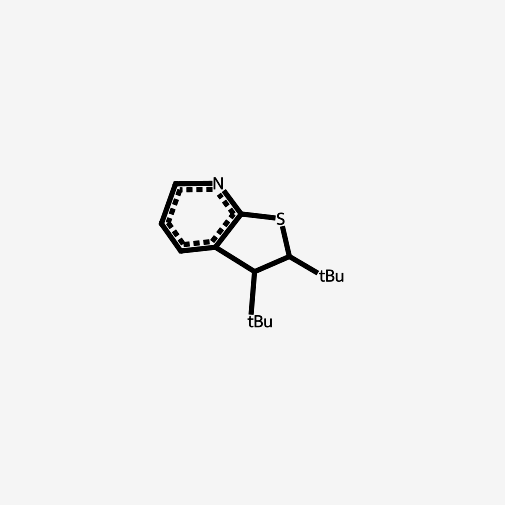 CC(C)(C)C1Sc2ncccc2C1C(C)(C)C